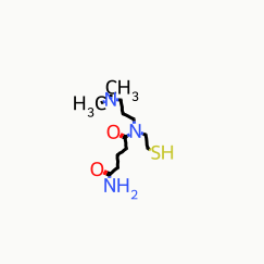 CN(C)CCCN(CCS)C(=O)CCCC(N)=O